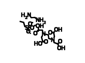 CCC[Si](OC)(OC)OC.NCCN.O=C(O)CN(CCN(CC(=O)O)CC(=O)O)CC(=O)O